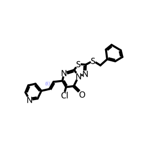 O=c1c(Cl)c(/C=C/c2cccnc2)nc2sc(SCc3ccccc3)nn12